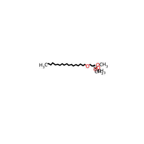 CCCCCCCCCCCCCCCCCCOCCC[Si](OC)(OC)OC